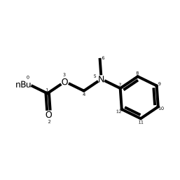 CCCCC(=O)OCN(C)c1ccccc1